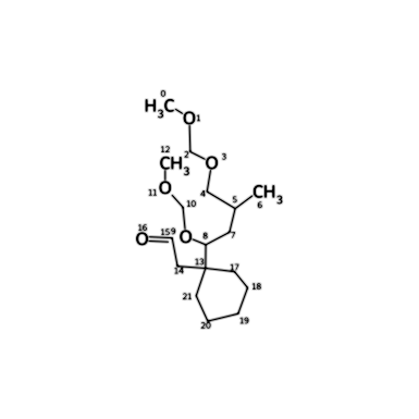 COCOCC(C)CC(OCOC)C1(CC=O)CCCCC1